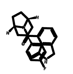 O=C1NCc2cccc(C(=O)N3[C@@H]4CC[C@H]3C[C@@H](c3ccc(F)cc3)C4)c21